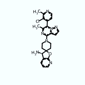 Cc1nccc(-c2c(C)nc(N3CCC4(CC3)Oc3ncccc3[C@H]4N)c3ccnn23)c1Cl